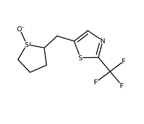 [O-][S+]1CCCC1Cc1cnc(C(F)(F)F)s1